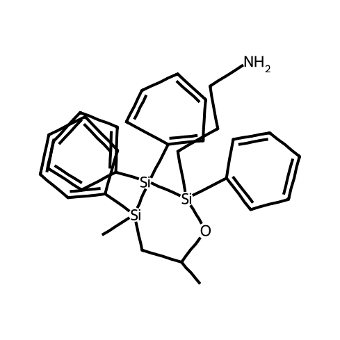 CC1C[Si](C)(c2ccccc2)[Si](c2ccccc2)(c2ccccc2)[Si](CCCN)(c2ccccc2)O1